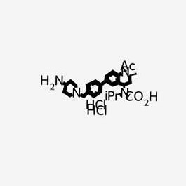 CC(=O)N1c2ccc(-c3ccc(CN4CCC(N)CC4)cc3)cc2[C@H](N(C(=O)O)C(C)C)C[C@@H]1C.Cl.Cl